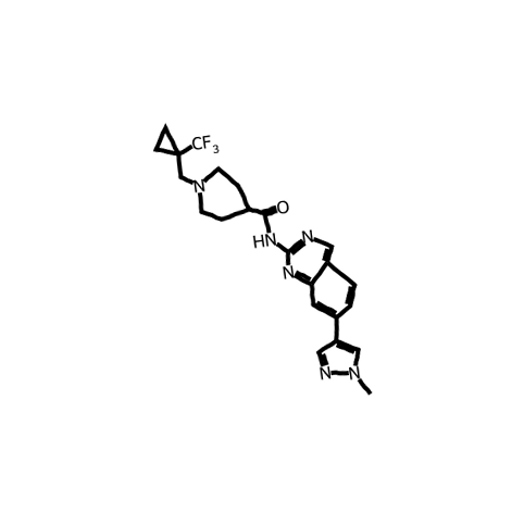 Cn1cc(-c2ccc3cnc(NC(=O)C4CCN(CC5(C(F)(F)F)CC5)CC4)nc3c2)cn1